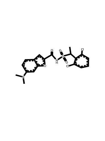 CC(c1c(Cl)cccc1Cl)S(=O)(=O)NC(=O)c1cc2ccc(N(C)C)cc2o1